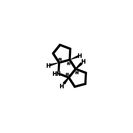 C1C[C@H]2[C@@H]3CCC[C@@H]3N[C@H]2C1